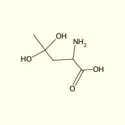 CC(O)(O)CC(N)C(=O)O